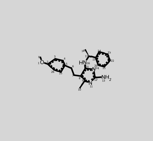 COc1ccc(CCc2c(C)nc(N)nc2N[C@@H](C)c2ccccc2)cc1